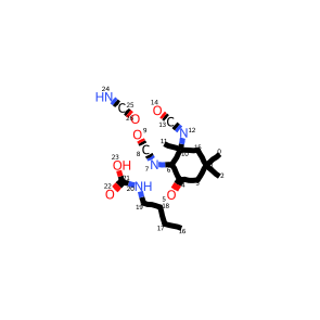 CC1(C)CC(=O)C(N=C=O)C(C)(N=C=O)C1.CCCCNC(=O)O.N=C=O